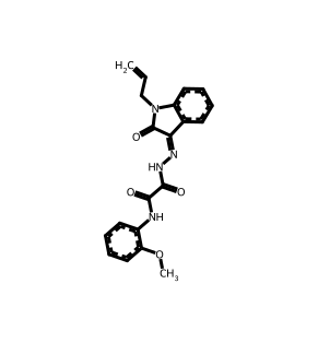 C=CCN1C(=O)/C(=N\NC(=O)C(=O)Nc2ccccc2OC)c2ccccc21